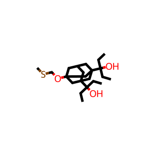 CCC(O)(CC)C12CC3CC(OCSC)(C1)CC(C(O)(CC)CC)(C3)C2